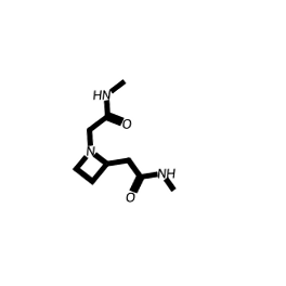 CNC(=O)CC1CCN1CC(=O)NC